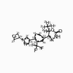 [2H]C([2H])([2H])[C@]1([2H])OC(=O)NN=C1c1ccc(-c2cnn(C3COC3)c2)c(C(F)(F)F)c1